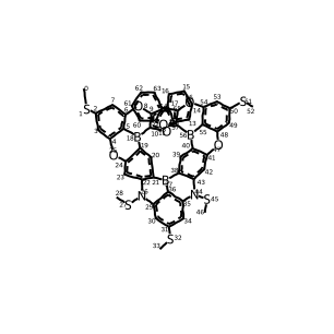 CSc1cc2c3c(c1)Oc1c(oc4ccccc14)B3c1cc3c(cc1O2)N(SC)c1cc(SC)cc2c1B3c1cc3c(cc1N2SC)Oc1cc(SC)cc2c1B3c1oc3ccccc3c1O2